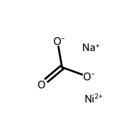 O=C([O-])[O-].[Na+].[Ni+2]